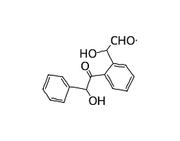 O=[C]C(O)c1ccccc1C(=O)C(O)c1ccccc1